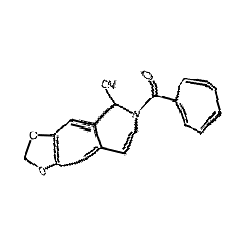 N#CC1c2cc3c(cc2C=CN1C(=O)c1ccccc1)OCO3